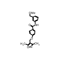 COCc1cccc(NC(=O)c2ccc(OCc3c(C)noc3C)cc2)c1